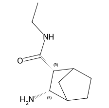 CCNC(=O)[C@@H]1C2CCC(C2)[C@@H]1N